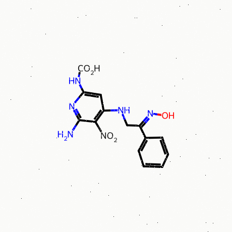 Nc1nc(NC(=O)O)cc(NCC(=NO)c2ccccc2)c1[N+](=O)[O-]